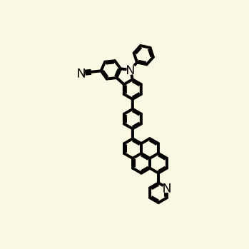 N#Cc1ccc2c(c1)c1cc(-c3ccc(-c4ccc5ccc6c(-c7ccccn7)ccc7ccc4c5c76)cc3)ccc1n2-c1ccccc1